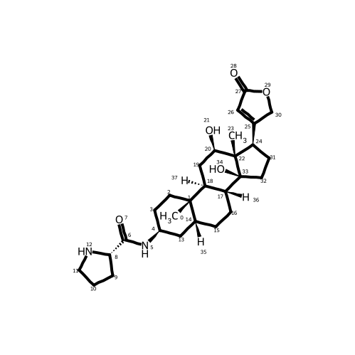 C[C@]12CC[C@H](NC(=O)[C@@H]3CCCN3)C[C@H]1CC[C@@H]1[C@@H]2C[C@@H](O)[C@]2(C)[C@@H](C3=CC(=O)OC3)CC[C@]12O